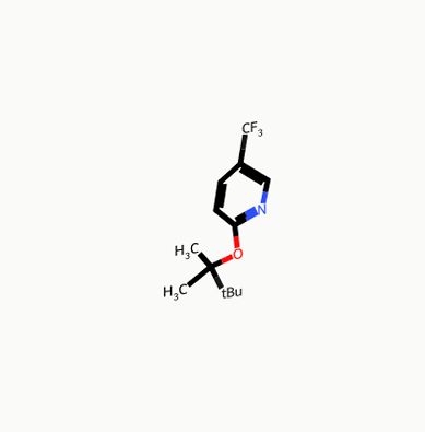 CC(C)(C)C(C)(C)Oc1ccc(C(F)(F)F)cn1